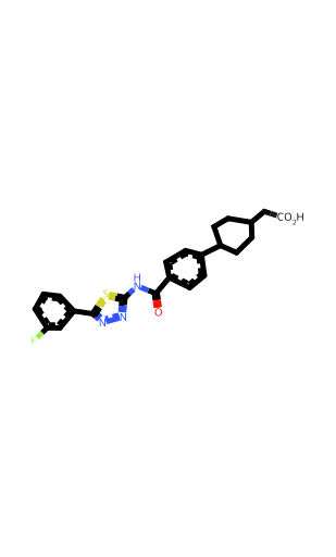 O=C(O)CC1CCC(c2ccc(C(=O)Nc3nnc(-c4cccc(F)c4)s3)cc2)CC1